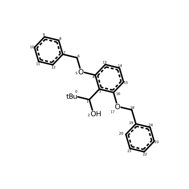 CC(C)(C)C(O)c1c(OCc2ccccc2)cccc1OCc1ccccc1